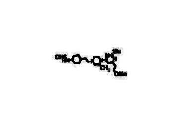 COCCc1cc(N2CCN(CCC3CCC(NC=O)CC3)C[C@H]2C)nc(C(C)(C)C)n1